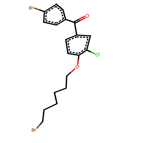 O=C(c1ccc(Br)cc1)c1ccc(OCCCCCCBr)c(Cl)c1